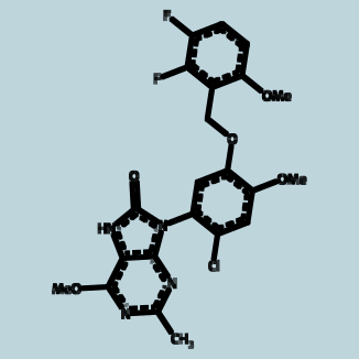 COc1cc(Cl)c(-n2c(=O)[nH]c3c(OC)nc(C)nc32)cc1OCc1c(OC)ccc(F)c1F